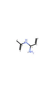 C=CC(N)NC(=C)C